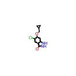 O=c1[nH][nH]c2cc(OCC3CC3)c(Cl)cc12